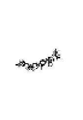 CC(=O)NC[C@H]1CN(c2ccc(N3CCON(C(=O)Cc4c[nH]nn4)CC3)c(F)c2)C(=O)O1